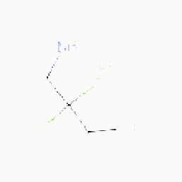 CCC(F)(F)CN.Cl